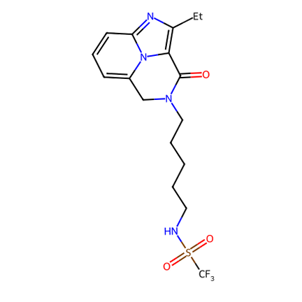 CCc1nc2cccc3n2c1C(=O)N(CCCCCNS(=O)(=O)C(F)(F)F)C3